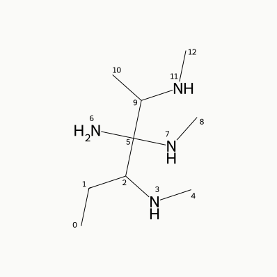 CCC(NC)C(N)(NC)C(C)NC